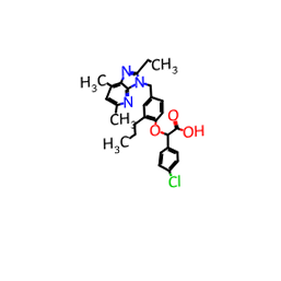 CCCc1cc(Cn2c(CC)nc3c(C)cc(C)nc32)ccc1OC(C(=O)O)c1ccc(Cl)cc1